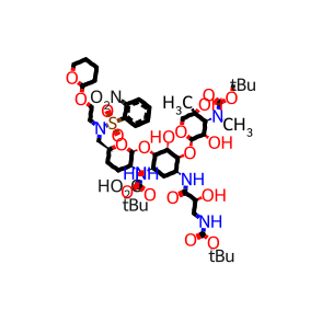 CN(C(=O)OC(C)(C)C)[C@@H]1[C@@H](O)[C@@H](O[C@@H]2[C@@H](O)[C@H](O[C@H]3O[C@H](CN(CCOC4CCCCO4)S(=O)(=O)c4ccccc4[N+](=O)[O-])CC[C@H]3NC(=O)O)[C@@H](NC(=O)OC(C)(C)C)C[C@H]2NC(=O)[C@@H](O)CNC(=O)OC(C)(C)C)OC[C@]1(C)O